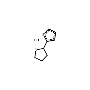 [LiH].c1csc(C2CCCO2)c1